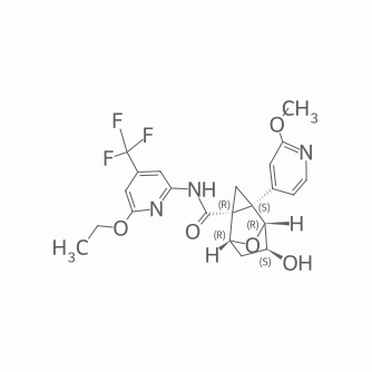 CCOc1cc(C(F)(F)F)cc(NC(=O)[C@]23C[C@@]2(c2ccnc(OC)c2)[C@H]2O[C@@H]3C[C@@H]2O)n1